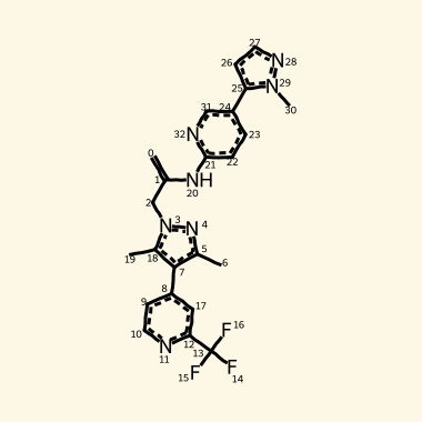 C=C(Cn1nc(C)c(-c2ccnc(C(F)(F)F)c2)c1C)Nc1ccc(-c2ccnn2C)cn1